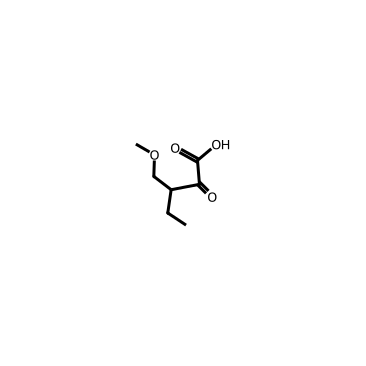 CCC(COC)C(=O)C(=O)O